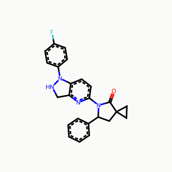 O=C1N(c2ccc3c(n2)CNN3c2ccc(F)cc2)C(c2ccccc2)CC12CC2